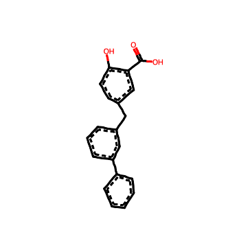 O=C(O)c1cc(Cc2cccc(-c3ccccc3)c2)ccc1O